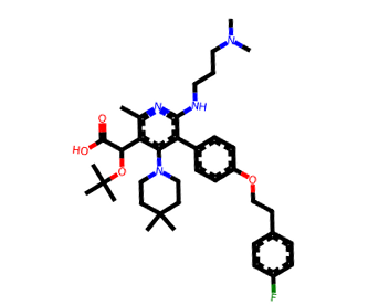 Cc1nc(NCCCN(C)C)c(-c2ccc(OCCc3ccc(F)cc3)cc2)c(N2CCC(C)(C)CC2)c1C(OC(C)(C)C)C(=O)O